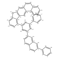 c1ccc(-c2ccc3ccc(-c4nc(-c5ccccc5)nc(-c5cccc6oc7cc8ccc9ccccc9c8cc7c56)n4)cc3c2)cc1